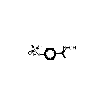 CC(=NO)c1ccc(NS(C)(=O)=O)cc1